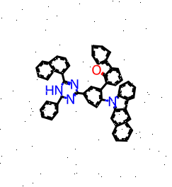 c1ccc(C2N=C(c3ccc(-n4c5ccccc5c5cc6ccccc6cc54)c(-c4cccc5c4oc4ccccc45)c3)N=C(c3cccc4ccccc34)N2)cc1